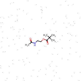 CC(=O)NCCOC(=O)C(C)(C)C